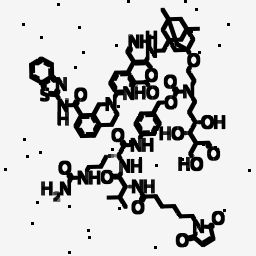 C/C(NCC12CC3(C)CC(C)(C1)CC(OCCN(CC[C@@H](O)[C@H](O)C(C=O)CO)C(=O)OCc1ccc(NC(=O)[C@@H](CCCNC(N)=O)NC(=O)[C@H](NC(=O)CCCCCN4C(=O)C=CC4=O)C(C)C)cc1)(C3)C2)=C(/C=N)c1ccc(N2CCc3cccc(C(=O)Nc4nc5ccccc5s4)c3C2)nc1C(=O)O